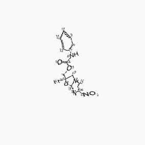 CCC1(COC(=O)Nc2ccccc2)Cn2cc([N+](=O)[O-])nc2O1